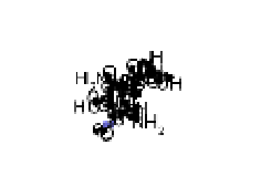 COC(=O)/C=C/CC[C@H](NC(=O)[C@H](CC(N)=O)NC(C)=O)C(=O)N[C@@H](CCC(=O)O)C(=O)N[C@@H](CCC(N)=O)C(=O)N[C@H](C(=O)N[C@@H](CO)C(=O)N1CCCC1C(=O)N[C@@H](CC(C)C)C(=O)O)C(C)C